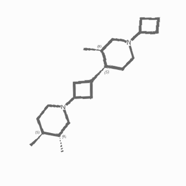 C[C@H]1CCN(C2CC([C@@H]3CCN(C4CCC4)C[C@@H]3C)C2)C[C@@H]1C